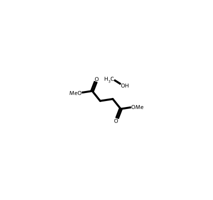 CO.COC(=O)CCC(=O)OC